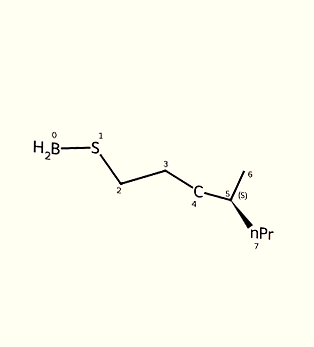 BSCCC[C@@H](C)CCC